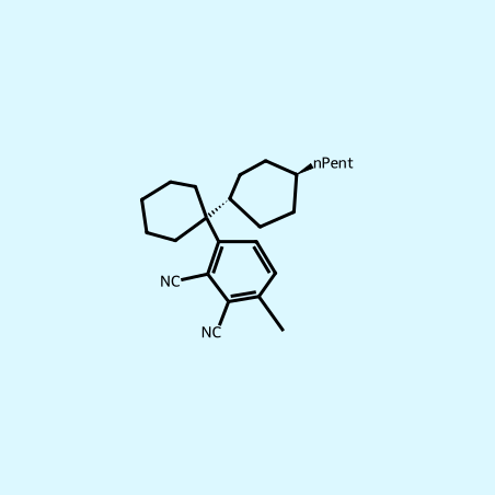 CCCCC[C@H]1CC[C@H](C2(c3ccc(C)c(C#N)c3C#N)CCCCC2)CC1